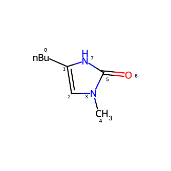 CCCCc1cn(C)c(=O)[nH]1